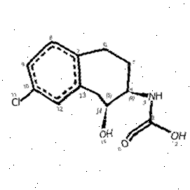 O=C(O)N[C@@H]1CCc2ccc(Cl)cc2[C@@H]1O